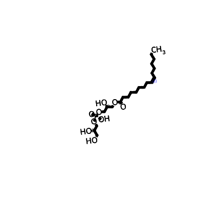 CCCCCC/C=C\CCCCCCCC(=O)OC[C@@H](O)COP(=O)(O)OC[C@@H](O)CO